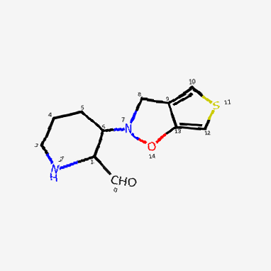 O=CC1NCCCC1N1Cc2cscc2O1